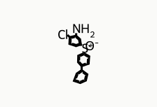 Nc1cc([S+]([O-])c2ccc(-c3ccccc3)cc2)ccc1Cl